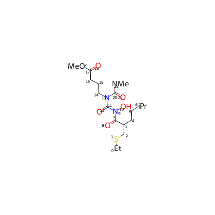 CCSC[C@@H](CCC(C)C)C(=O)N(O)C(=O)N(CCCC(=O)OC)C(=O)NC